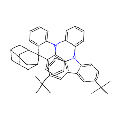 CC(C)(C)c1ccc2c(c1)c1cc(C(C)(C)C)ccc1n2-c1ccccc1N1c2ccccc2C2(c3ccccc31)C1CC3CC(C1)CC2C3